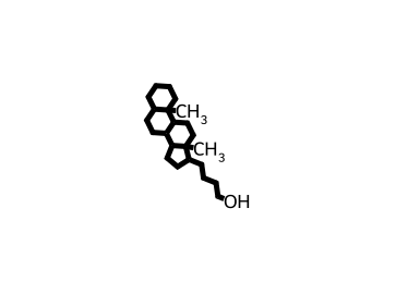 CC12CCCCC1CCC1C2CCC2(C)C(CCCCO)CCC12